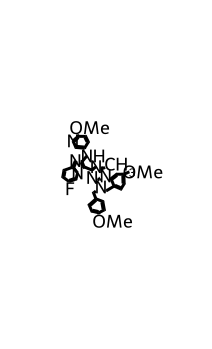 COc1ccc(CN(Cc2ccc(OC)cc2)c2nc(C)nc(-c3c(Nc4ccc(OC)nc4)nc4ccc(F)cn34)n2)cc1